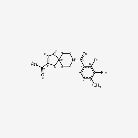 Cc1ccc(C(=O)N2CCC3(CC2)CC(C(=O)O)=NO3)c(F)c1F